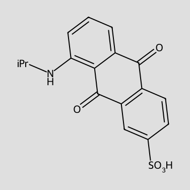 CC(C)Nc1cccc2c1C(=O)c1cc(S(=O)(=O)O)ccc1C2=O